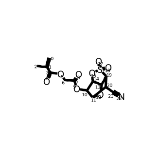 C=C(C)C(=O)OCC(=O)OC1C2OC3C1OS(=O)(=O)C3C2C#N